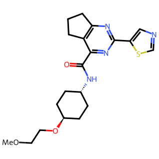 COCCO[C@H]1CC[C@H](NC(=O)c2nc(-c3cncs3)nc3c2CCC3)CC1